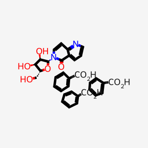 O=C(O)c1ccccc1.O=C(O)c1ccccc1.O=C(O)c1ccccc1.O=c1c2cccnc2ccn1[C@@H]1O[C@H](CO)[C@@H](O)[C@H]1O